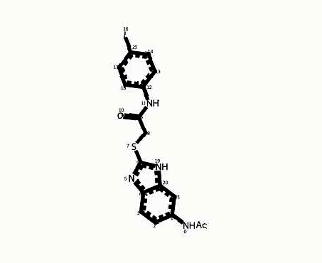 CC(=O)Nc1ccc2nc(SCC(=O)Nc3ccc(I)cc3)[nH]c2c1